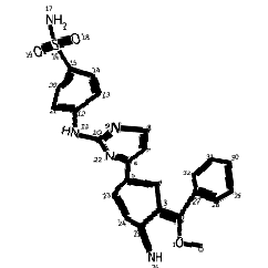 CO/C(=C1/C=C(c2ccnc(Nc3ccc(S(N)(=O)=O)cc3)n2)C=CC1=N)c1ccccc1